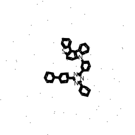 c1ccc(-c2ccc(-c3nc(-c4ccccc4)nc(-c4cccc(-n5c6ccccc6c6c7c(ccc65)sc5ccccc57)c4)n3)cc2)cc1